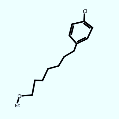 [CH2]COCCCCCCCc1ccc(Cl)cc1